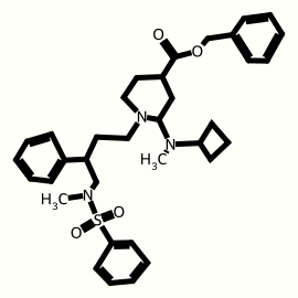 CN(C1CCC1)C1CC(C(=O)OCc2ccccc2)CCN1CCC(CN(C)S(=O)(=O)c1ccccc1)c1ccccc1